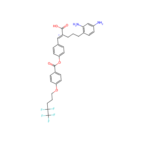 Nc1ccc(CCC/C(=C\c2ccc(OC(=O)c3ccc(OCCCC(F)(F)C(F)(F)F)cc3)cc2)C(=O)O)c(N)c1